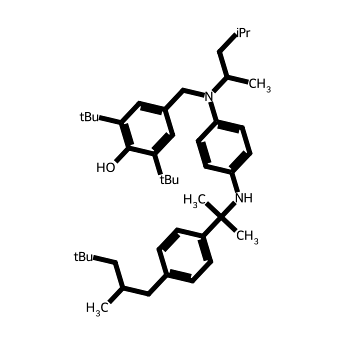 CC(C)CC(C)N(Cc1cc(C(C)(C)C)c(O)c(C(C)(C)C)c1)c1ccc(NC(C)(C)c2ccc(CC(C)CC(C)(C)C)cc2)cc1